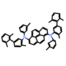 Cc1cccc(N(c2cc(-c3c(C)cccc3C)ccc2C)c2ccc3ccc4c(N(c5cccc(C)c5)c5cc(-c6c(C)cccc6C)ccc5C)ccc5ccc2c3c54)c1